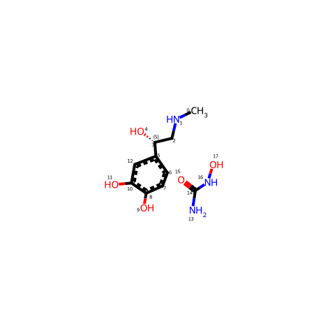 CNC[C@@H](O)c1ccc(O)c(O)c1.NC(=O)NO